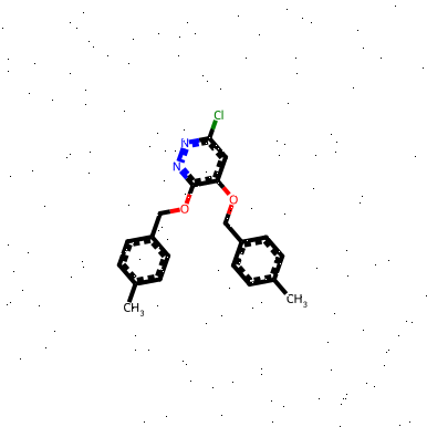 Cc1ccc(COc2cc(Cl)nnc2OCc2ccc(C)cc2)cc1